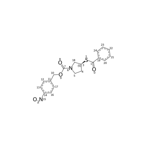 O=C(S[C@H]1CCN(C(=O)OCc2ccc([N+](=O)[O-])cc2)C1)c1ccccc1